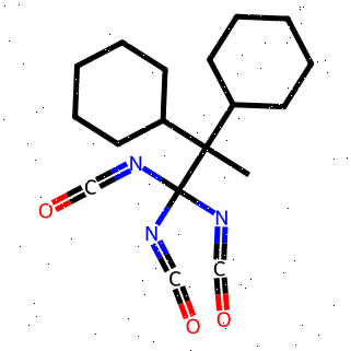 CC(C1CCCCC1)(C1CCCCC1)C(N=C=O)(N=C=O)N=C=O